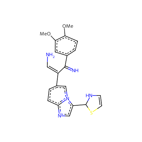 COc1ccc(C(=N)/C(=C\N)c2ccc3ncc(C4NC=CS4)n3c2)cc1OC